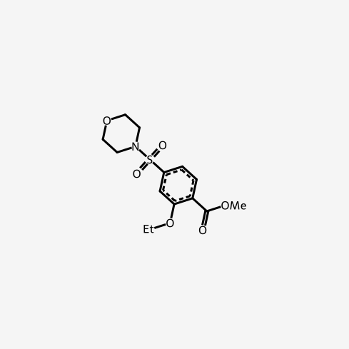 CCOc1cc(S(=O)(=O)N2CCOCC2)ccc1C(=O)OC